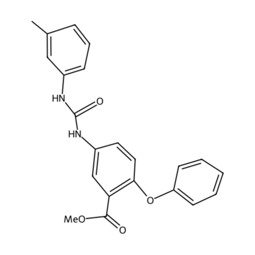 COC(=O)c1cc(NC(=O)Nc2cccc(C)c2)ccc1Oc1ccccc1